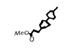 COC(=O)C=Cc1ccc(C2CCC(C)CC2)cc1